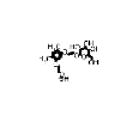 Cc1cc(C)c(OCCO[C@@H]2OC(CO)[C@@H](O)C(O)C2O)cc1OCCOO